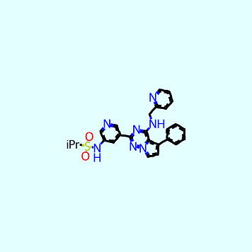 CC(C)S(=O)(=O)Nc1cncc(-c2nc(NCc3ccccn3)c3c(-c4ccccc4)ccn3n2)c1